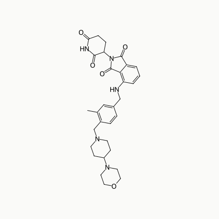 Cc1cc(CNc2cccc3c2C(=O)N(C2CCC(=O)NC2=O)C3=O)ccc1CN1CCC(N2CCOCC2)CC1